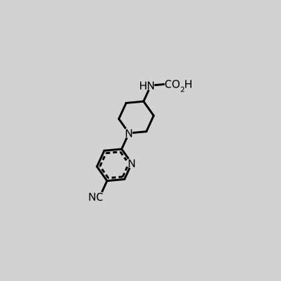 N#Cc1ccc(N2CCC(NC(=O)O)CC2)nc1